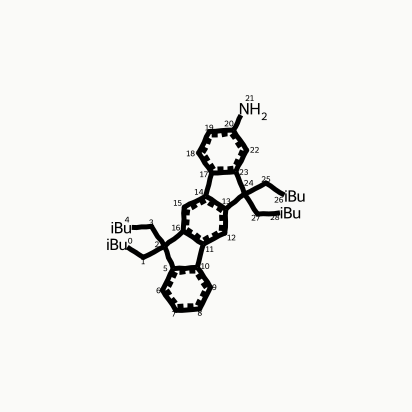 CCC(C)CC1(CC(C)CC)c2ccccc2-c2cc3c(cc21)-c1ccc(N)cc1C3(CC(C)CC)CC(C)CC